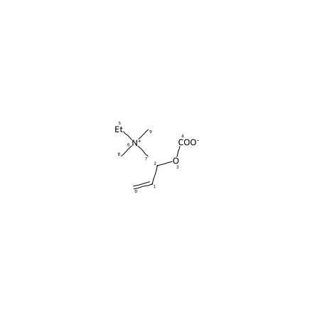 C=CCOC(=O)[O-].CC[N+](C)(C)C